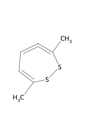 CC1=C=CC=C(C)SS1